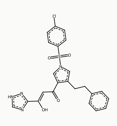 O=C(C=C(O)c1nc[nH]n1)c1cn(S(=O)(=O)c2ccc(Cl)cc2)cc1CCc1ccccc1